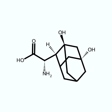 N[C@H](C(=O)O)[C@@H]1C2CC3C[C@@](O)(C2)C[C@]1(O)C3